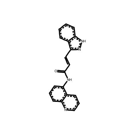 O=C(C=Cc1n[nH]c2ccccc12)Nc1cccc2ncccc12